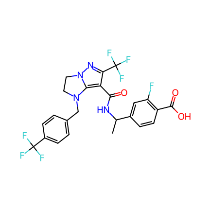 CC(NC(=O)c1c(C(F)(F)F)nn2c1N(Cc1ccc(C(F)(F)F)cc1)CC2)c1ccc(C(=O)O)c(F)c1